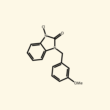 COc1cccc(Cn2c(=O)n(Cl)c3ccccc32)c1